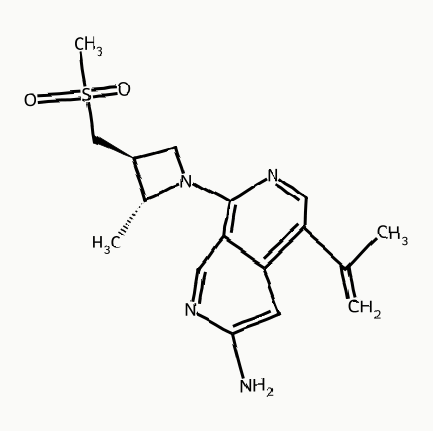 C=C(C)c1cnc(N2C[C@H](CS(C)(=O)=O)[C@H]2C)c2cnc(N)cc12